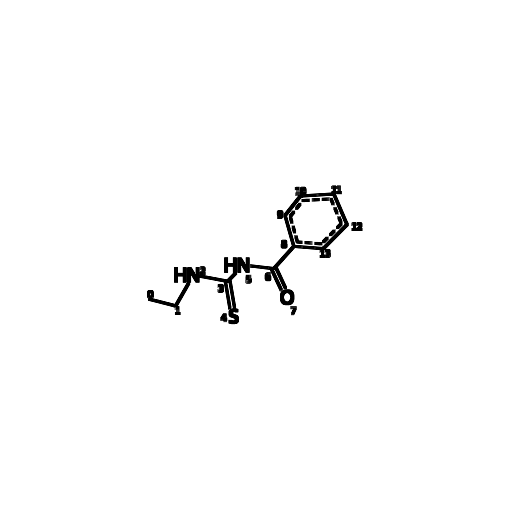 CCNC(=S)NC(=O)c1ccccc1